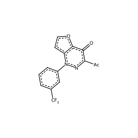 CC(=O)c1nn(-c2cccc(C(F)(F)F)c2)c2ccoc2c1=O